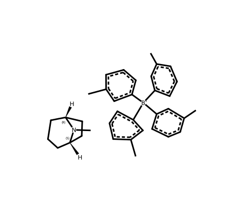 CN1[C@@H]2CCC[C@H]1CC2.Cc1cccc([B-](c2cccc(C)c2)(c2cccc(C)c2)c2cccc(C)c2)c1